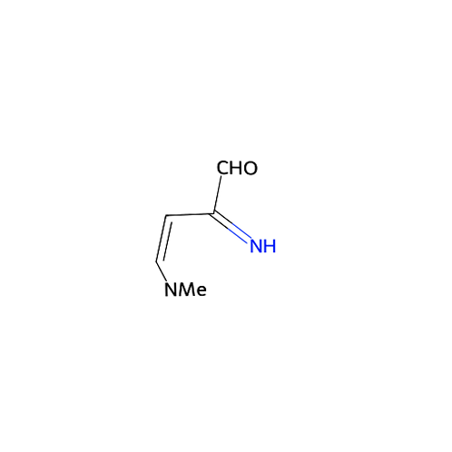 CN/C=C\C(=N)C=O